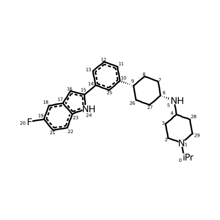 CC(C)N1CCC(N[C@H]2CC[C@@H](c3cccc(-c4cc5cc(F)ccc5[nH]4)c3)CC2)CC1